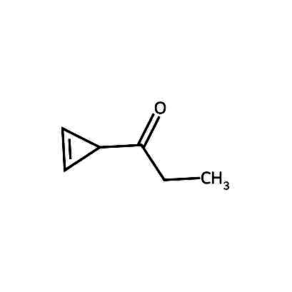 CCC(=O)C1C=C1